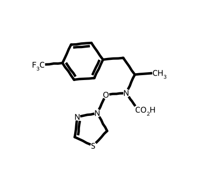 CC(Cc1ccc(C(F)(F)F)cc1)N(ON1CSC=N1)C(=O)O